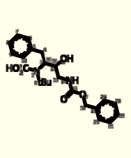 CC(C)(C)N(C(=O)O)[C@@H](Cc1ccccc1)[C@@H](O)CNC(=O)OCc1ccccc1